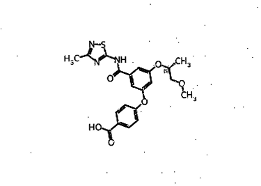 COC[C@H](C)Oc1cc(Oc2ccc(C(=O)O)cc2)cc(C(=O)Nc2nc(C)ns2)c1